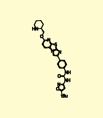 CC(C)(C)c1cc(NC(=O)Nc2ccc(-c3cn4c(n3)sc3nc(OC[C@@H]5CCCCN5)ccc34)cc2)no1